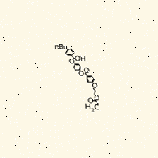 C=CC(=O)OCCCOc1ccc(C(=O)OC2=CC=C(OC(O)c3ccc(CCCC)cc3)CC2)cc1